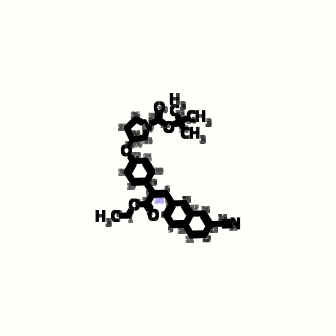 CCOC(=O)/C(=C\c1ccc2ccc(C#N)cc2c1)c1ccc(O[C@H]2CCN(C(=O)OC(C)(C)C)C2)cc1